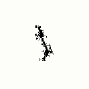 CC1=C(/C=C/C(C)=C/C=C/C(C)=C/C=C/C=C(C)/C=C/C=C(C)/C=C/C2=C(C)C(=O)C(OC(=O)NCCCC(=O)O)CC2(C)C)C(C)(C)CC(OC(=O)NCCCC(=O)O)C1=O